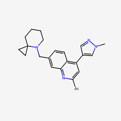 CC(=O)c1cc(-c2cnn(C)c2)c2ccc(CN3CCCCC34CC4)cc2n1